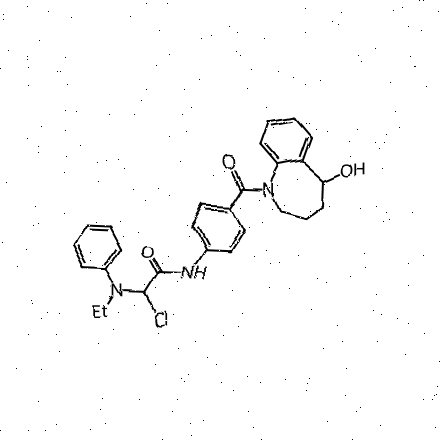 CCN(c1ccccc1)C(Cl)C(=O)Nc1ccc(C(=O)N2CCCC(O)c3ccccc32)cc1